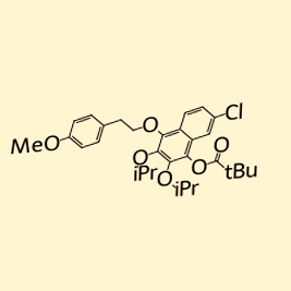 COc1ccc(CCOc2c(OC(C)C)c(OC(C)C)c(OC(=O)C(C)(C)C)c3cc(Cl)ccc23)cc1